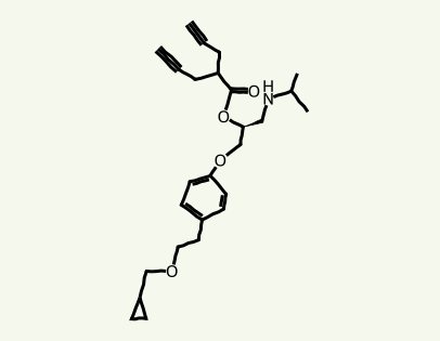 C#CCC(CC#C)C(=O)O[C@@H](CNC(C)C)COc1ccc(CCOCC2CC2)cc1